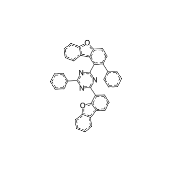 c1ccc(-c2nc(-c3cccc4c3oc3ccccc34)nc(-c3c(-c4ccccc4)ccc4oc5ccccc5c34)n2)cc1